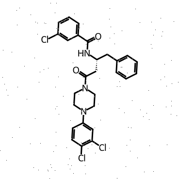 O=C(N[C@@H](CC(=O)N1CCN(c2ccc(Cl)c(Cl)c2)CC1)Cc1ccccc1)c1cccc(Cl)c1